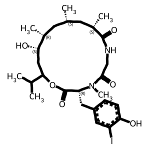 CC(C)C1C[C@H](O)[C@H](C)C[C@H](C)C[C@H](C)C(=O)NCC(=O)N(C)[C@H](Cc2ccc(O)c(I)c2)C(=O)O1